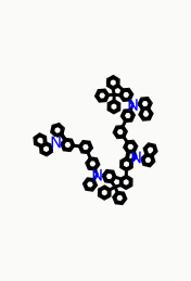 c1ccc(N(c2ccc(-c3cccc(-c4ccc5c(c4)c4ccccc4n5-c4cccc5ccccc45)c3)cc2)c2ccc3c(c2)C(c2ccccc2)(c2ccccc2)c2cccc(-c4ccc5c6cc(-c7cccc(-c8ccc(N(c9ccc%10c(c9)C(c9ccccc9)(c9ccccc9)c9ccccc9-%10)c9cccc%10ccccc9%10)cc8)c7)ccc6n(-c6cccc7ccccc67)c5c4)c2-3)cc1